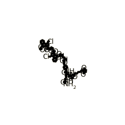 CC(O)Oc1cc2c(c3ccccc13)C(CCl)CN2C(=O)c1ccc(C(=O)N2CC(CCl)c3c2cc(OC(=O)N(C)CCN(C)C(=O)OCc2ccc(NC(=O)C(CCCNC(N)=O)NC(=O)C(NC(=O)CCCCCN4C(=O)C=CC4=O)C(C)C)cc2)c2ccccc32)s1